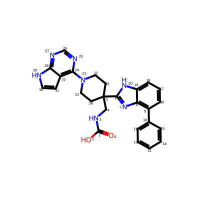 O=C(O)NCC1(c2nc3c(-c4ccccc4)cccc3[nH]2)CCN(c2ncnc3[nH]ccc23)CC1